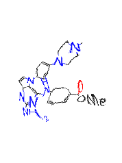 COC(=O)c1cccc(Nc2nc(N)nc3ccn(-c4ccc(N5CCN(C)CC5)cc4)c23)c1